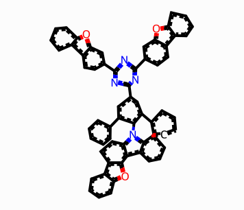 c1ccc(-c2cc(-c3nc(-c4ccc5c(c4)oc4ccccc45)nc(-c4ccc5c(c4)oc4ccccc45)n3)cc(-c3ccccc3)c2-n2c3ccccc3c3c4oc5ccccc5c4ccc32)cc1